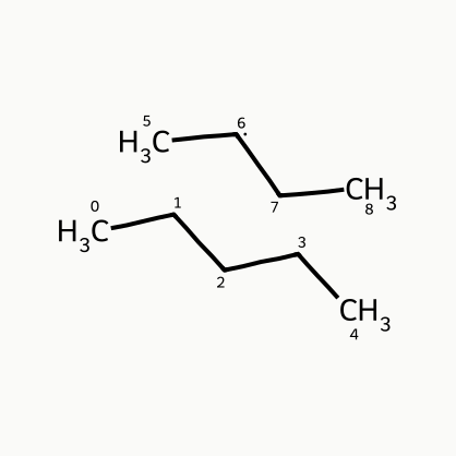 CCCCC.C[CH]CC